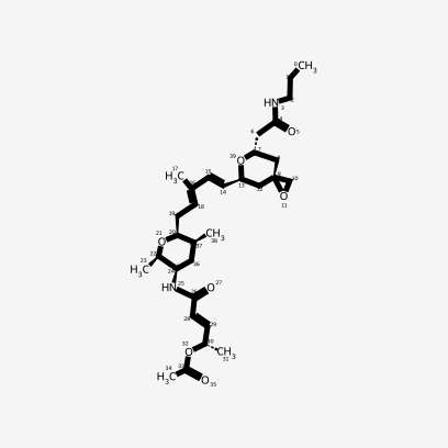 CCCNC(=O)C[C@@H]1C[C@]2(CO2)C[C@@H](C=CC(C)=CC[C@@H]2O[C@H](C)[C@H](NC(=O)C=C[C@H](C)OC(C)=O)C[C@@H]2C)O1